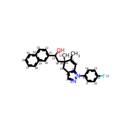 CC1=Cc2c(cnn2-c2ccc(F)cc2)C[C@]1(C)CC(O)c1ccc2ccccc2c1